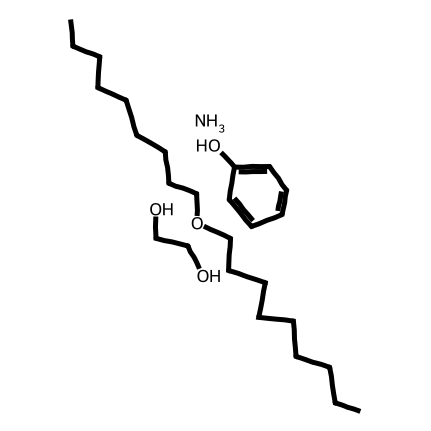 CCCCCCCCCOCCCCCCCCC.N.OCCO.Oc1ccccc1